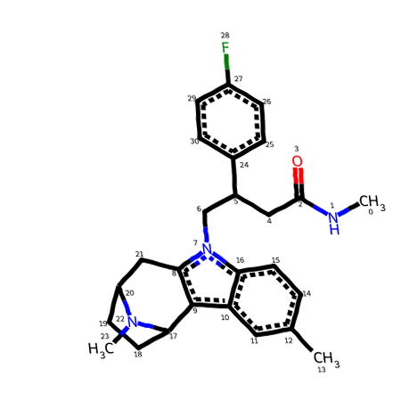 CNC(=O)CC(Cn1c2c(c3cc(C)ccc31)C1CCC(C2)N1C)c1ccc(F)cc1